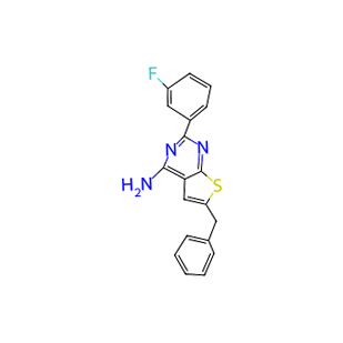 Nc1nc(-c2cccc(F)c2)nc2sc(Cc3ccccc3)cc12